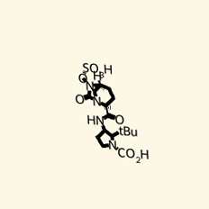 CC(C)(C)C1C(NC(=O)[C@@H]2CC[C@@H]3CN2C(=O)N3OS(=O)(=O)O)CCN1C(=O)O